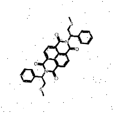 CSCC(c1ccccc1)N1C(=O)c2ccc3c4c(ccc(c24)C1=O)C(=O)N(C(CSC)c1ccccc1)C3=O